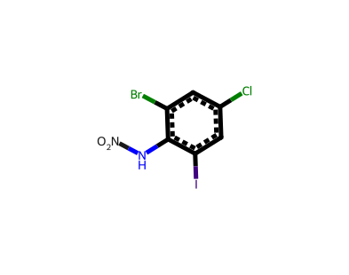 O=[N+]([O-])Nc1c(Br)cc(Cl)cc1I